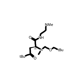 CNCCNC(=O)[C@H](CC(=O)C(C)(C)C)N(C)COCC(C)(C)C